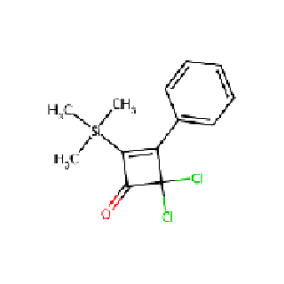 C[Si](C)(C)C1=C(c2ccccc2)C(Cl)(Cl)C1=O